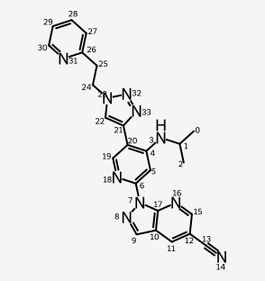 CC(C)Nc1cc(-n2ncc3cc(C#N)cnc32)ncc1-c1cn(CCc2ccccn2)nn1